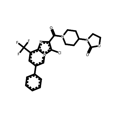 O=C(c1nc2c(C(F)(F)F)cc(-c3ccccc3)cn2c1Cl)N1CCC(N2CCOC2=O)CC1